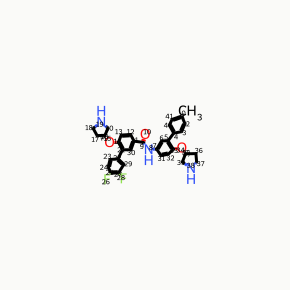 Cc1ccc(-c2cc(NC(=O)c3ccc(O[C@@H]4CCNC4)c(-c4ccc(F)c(F)c4)c3)ccc2O[C@H]2CCNC2)cc1